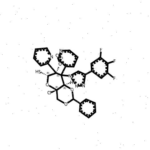 CO[C@@]1(c2ccccn2)[C@@H](S)O[C@@]2(Cl)COC(c3ccccc3)O[C@@H]2C1(c1cccnc1)n1cc(-c2cc(F)c(F)c(F)c2)nn1